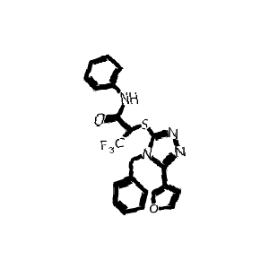 O=C(Nc1ccccc1)C(Sc1nnc(-c2ccoc2)n1Cc1ccccc1)C(F)(F)F